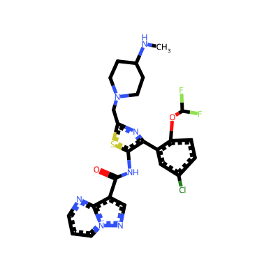 CNC1CCN(Cc2nc(-c3cc(Cl)ccc3OC(F)F)c(NC(=O)c3cnn4cccnc34)s2)CC1